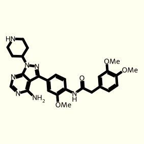 COc1cc(-c2nn(C3CCNCC3)c3ncnc(N)c23)ccc1NC(=O)Cc1ccc(OC)c(OC)c1